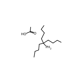 CC(=O)O.CCCCC(P)(CCCC)CCCC